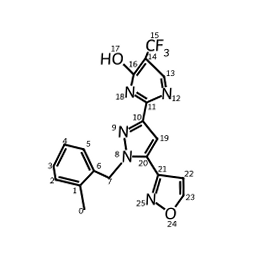 Cc1ccccc1Cn1nc(-c2ncc(C(F)(F)F)c(O)n2)cc1-c1ccon1